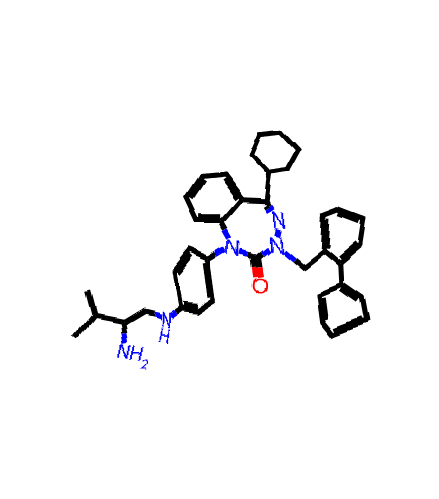 CC(C)C(N)CNc1ccc(N2C(=O)N(Cc3ccccc3-c3ccccc3)N=C(C3CCCCC3)c3ccccc32)cc1